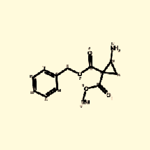 CC(C)(C)OC(=O)C1(C(=O)OCc2ccccc2)CC1N